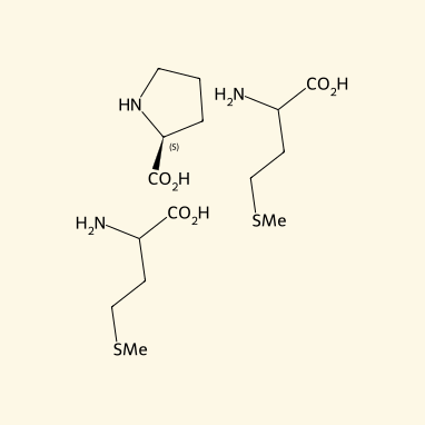 CSCCC(N)C(=O)O.CSCCC(N)C(=O)O.O=C(O)[C@@H]1CCCN1